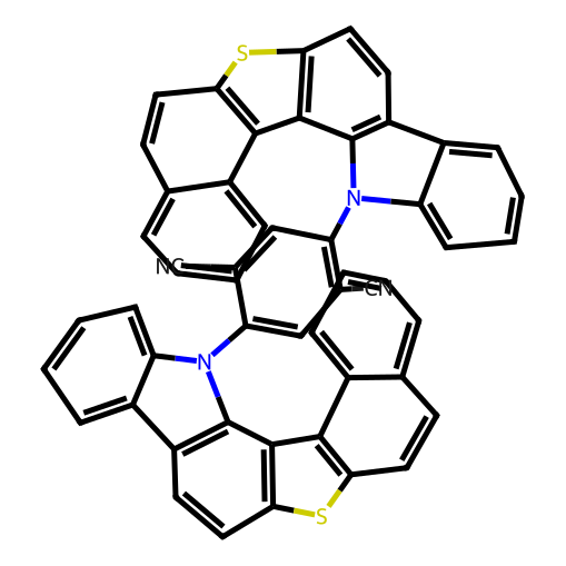 N#Cc1cc(-n2c3ccccc3c3ccc4sc5ccc6ccccc6c5c4c32)c(C#N)cc1-n1c2ccccc2c2ccc3sc4ccc5ccccc5c4c3c21